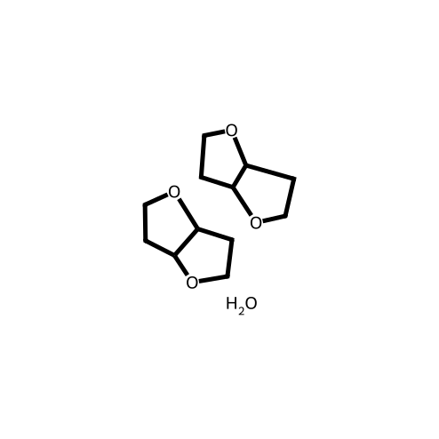 C1CC2OCCC2O1.C1CC2OCCC2O1.O